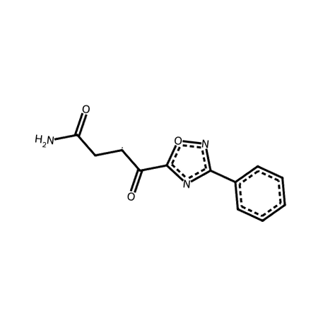 NC(=O)C[CH]C(=O)c1nc(-c2ccccc2)no1